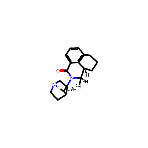 [2H]C1([2H])[C@H]2CCCc3cccc(c32)C(=O)N1[C@]1([2H])CN2CCC1CC2